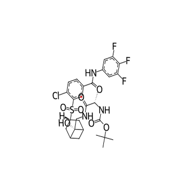 C[C@H](NC(=O)OC(C)(C)C)C(=O)NC[C@]1(O)C2CC1C[C@@H](S(=O)(=O)c1cc(C(=O)Nc3cc(F)c(F)c(F)c3)ccc1Cl)C2